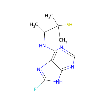 CC(Nc1ncnc2[nH]c(F)nc12)C(C)(C)S